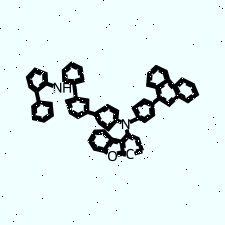 c1ccc(-c2ccccc2Nc2ccccc2-c2cccc(-c3ccc(N(c4ccc(-c5cc6ccccc6c6ccccc56)cc4)c4cccc5oc6ccccc6c45)cc3)c2)cc1